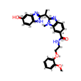 COc1ccccc1OCCNC(=O)c1ccc2nc(C(C)c3nc4cc(O)ccc4[nH]3)n(C)c2c1